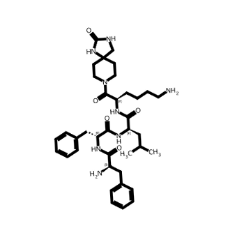 CC(C)C[C@@H](NC(=O)[C@@H](Cc1ccccc1)NC(=O)[C@H](N)Cc1ccccc1)C(=O)N[C@H](CCCCN)C(=O)N1CCC2(CC1)CNC(=O)N2